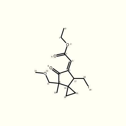 CCOC(=O)/C=C1\C(=O)C(C)(COC)C2(CC2)C1CI